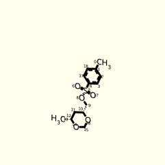 Cc1ccc(S(=O)(=O)OC[C@H]2C[C@@H](C)OCO2)cc1